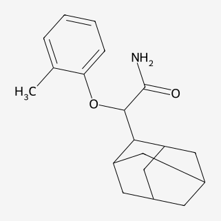 Cc1ccccc1OC(C(N)=O)C1C2CC3CC(C2)CC1C3